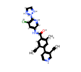 C#Cc1cnccc1-c1cc(C)c(C(=O)Nc2cnc(-n3nccn3)c(Cl)c2)cc1C#C